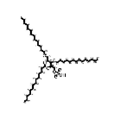 CCCCCCCCCCCCCCOCC(OCCCCCCCCCCCCCC)C(OCCCCCCCCCCCCCC)C(=O)COS(=O)(=O)O